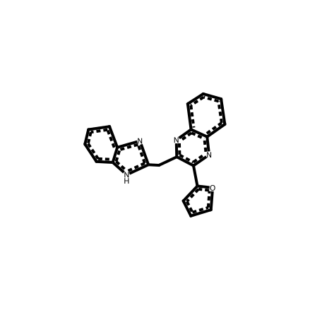 c1coc(-c2nc3ccccc3nc2Cc2nc3ccccc3[nH]2)c1